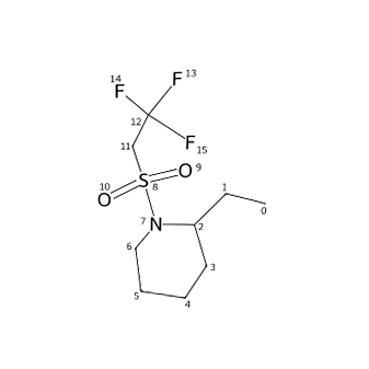 CCC1CCCCN1S(=O)(=O)CC(F)(F)F